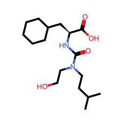 CC(C)CCN(CCO)C(=O)N[C@@H](CC1CCCCC1)C(=O)O